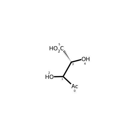 CC(=O)C(O)[C@@H](O)C(=O)O